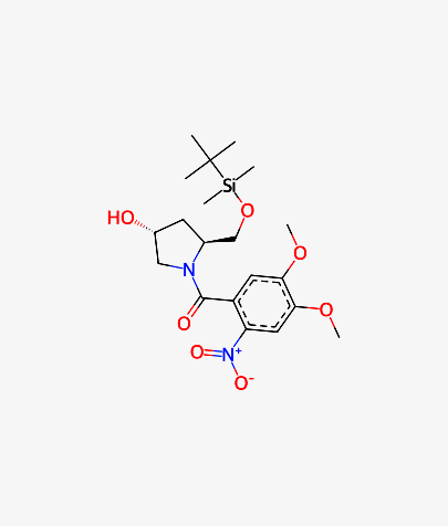 COc1cc(C(=O)N2C[C@H](O)C[C@H]2CO[Si](C)(C)C(C)(C)C)c([N+](=O)[O-])cc1OC